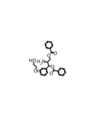 NC(COC(=O)c1ccccc1)C(OC(=O)c1ccccc1)c1ccccc1.OCCO